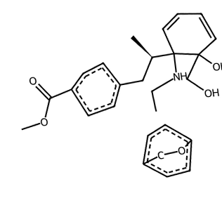 CCNC1([C@H](C)Cc2ccc(C(=O)OC)cc2)C=CC=CC1(O)CO.c1cc2ccc1CO2